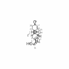 CC[C@H]1C[C@@]2(C)[C@H](CC[C@H]2[C@H](C)O)[C@@H]2CCC3=CC(=O)CC[C@@H]3[C@@H]12